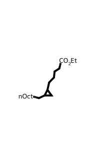 CCCCCCCCCC1CC1CCCCC(=O)OCC